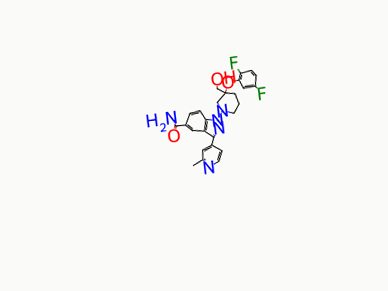 Cc1cc(-c2nn(N3CCCC(CO)(Oc4cc(F)ccc4F)C3)c3ccc(C(N)=O)cc23)ccn1